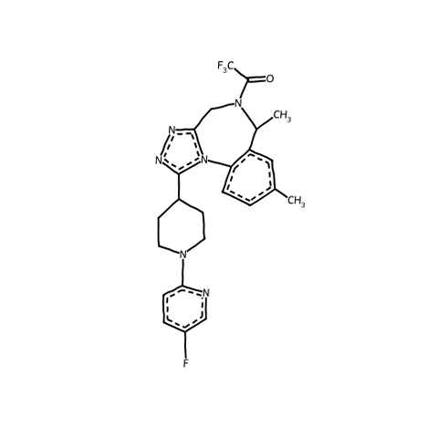 Cc1ccc2c(c1)C(C)N(C(=O)C(F)(F)F)Cc1nnc(C3CCN(c4ccc(F)cn4)CC3)n1-2